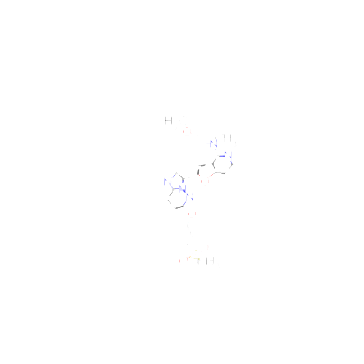 COCCN(C)c1nccc2oc(-c3cnc4ccc(OCCCS(C)(=O)=O)nn34)cc12